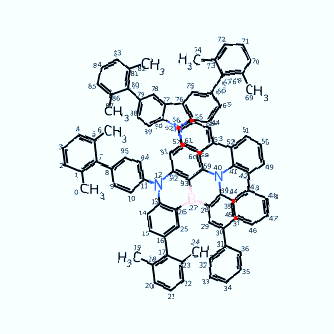 Cc1cccc(C)c1-c1ccc(N2c3ccc(-c4c(C)cccc4C)cc3B3c4cc(-c5ccccc5)ccc4N(c4c(-c5ccccc5)cccc4-c4ccccc4)c4cc(-n5c6ccc(-c7c(C)cccc7C)cc6c6cc(-c7c(C)cccc7C)ccc65)cc2c43)cc1